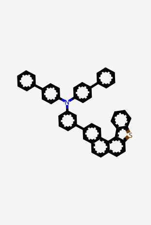 c1ccc(-c2ccc(N(c3ccc(-c4ccccc4)cc3)c3cccc(-c4ccc5c(ccc6ccc7sc8ccccc8c7c65)c4)c3)cc2)cc1